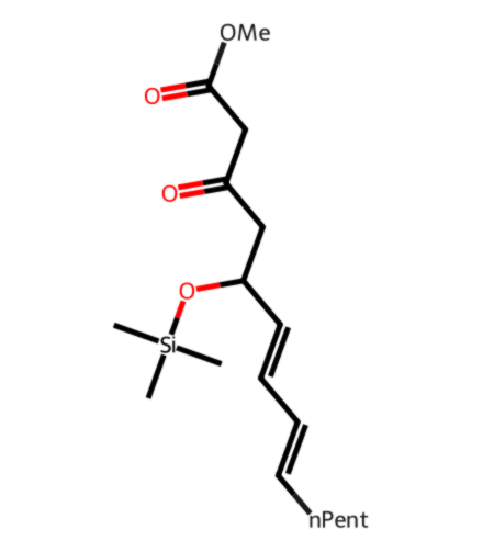 CCCCCC=CC=CC(CC(=O)CC(=O)OC)O[Si](C)(C)C